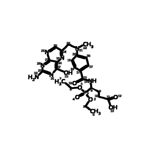 CCOP(=O)(OCC)[C@H](CCC(=O)O)NC(=O)c1ccc(N(C)Cc2cnc3nc(N)nc(O)c3n2)cc1